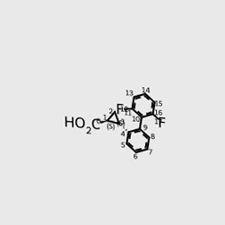 O=C(O)[C@H]1C[C@@H]1c1ccccc1-c1c(F)cccc1F